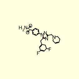 NS(=O)(=O)c1ccc(-n2nc(CN3CC=CCC3)nc2CC2=CC(F)=CC(F)C2)cc1